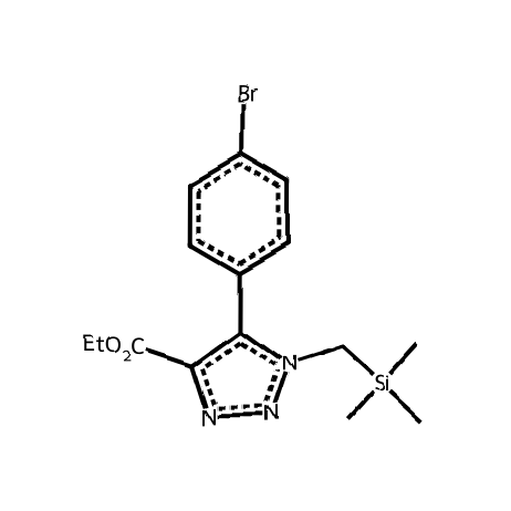 CCOC(=O)c1nnn(C[Si](C)(C)C)c1-c1ccc(Br)cc1